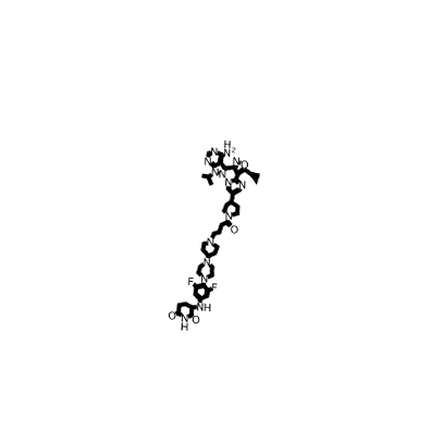 CC(C)n1nc(-c2noc(C3CC3)c2-c2ncc(C3CCN(C(=O)CCCN4CCC(N5CCN(c6c(F)cc(NC7CCC(=O)NC7=O)cc6F)CC5)CC4)CC3)cn2)c2c(N)ncnc21